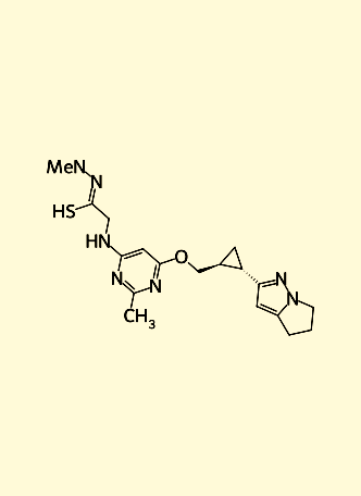 CN/N=C(\S)CNc1cc(OC[C@H]2C[C@@H]2c2cc3n(n2)CCC3)nc(C)n1